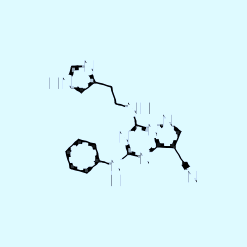 N#Cc1cnn2c(NCCc3c[nH]cn3)nc(Nc3ccccc3)nc12